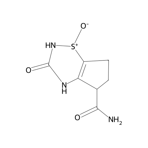 NC(=O)C1CCC2=C1NC(=O)N[S+]2[O-]